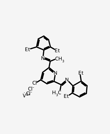 CCc1cccc(CC)c1N=C(C)c1cc(Cl)cc(C(C)=Nc2c(CC)cccc2CC)n1.[Cl-].[Cl-].[V+2]